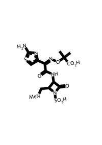 CNCC1C(NC(=O)/C(=N\OC(C)(C)C(=O)O)c2csc(N)n2)C(=O)N1S(=O)(=O)O